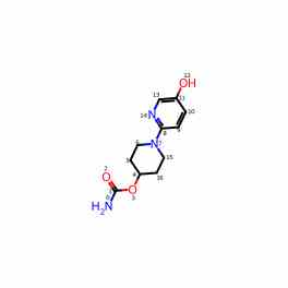 NC(=O)OC1CCN(c2ccc(O)cn2)CC1